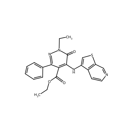 CCOC(=O)c1c(-c2ccccc2)nn(CC)c(=O)c1Nc1csc2cnccc12